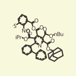 CCCCOC(=O)c1c(C(=O)OC23CC4CC(CC(C4)C2)C3)nc(-c2ccccc2-c2ccccc2)c(C(=O)OC(C)C)c1C(=O)OC(=O)c1cccc([S])c1[N+](=O)[O-]